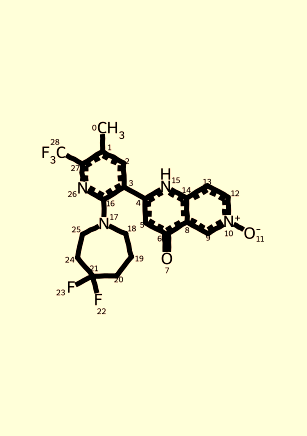 Cc1cc(-c2cc(=O)c3c[n+]([O-])ccc3[nH]2)c(N2CCCC(F)(F)CC2)nc1C(F)(F)F